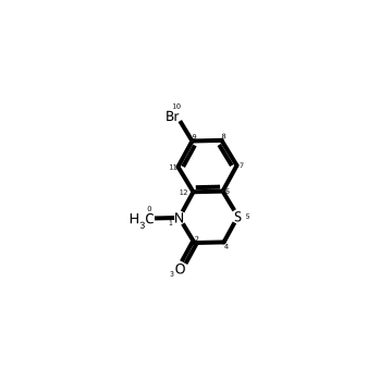 CN1C(=O)CSc2ccc(Br)cc21